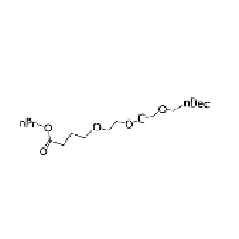 CCCCCCCCCCCOCCOCCOCCCC(=O)OCCC